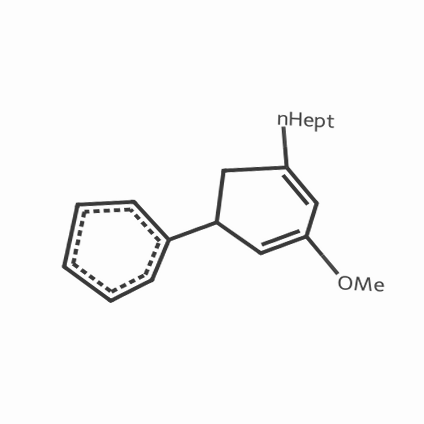 CCCCCCCC1=CC(OC)=CC(c2ccccc2)C1